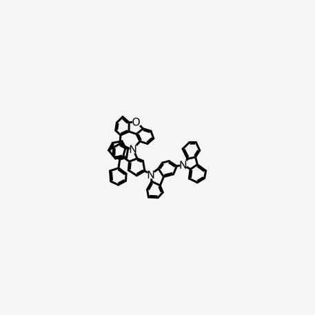 c1ccc(-c2ccc(-c3cccc4oc5cccc(-n6c7ccccc7c7ccc(-n8c9ccccc9c9cc(-n%10c%11ccccc%11c%11ccccc%11%10)ccc98)cc76)c5c34)cc2)cc1